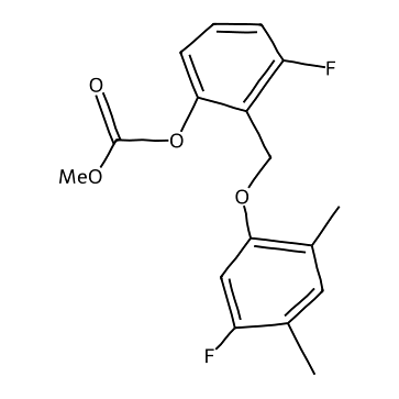 COC(=O)Oc1cccc(F)c1COc1cc(F)c(C)cc1C